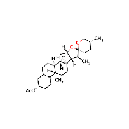 CC(=O)O[C@H]1CC[C@@]2(C)C(CC[C@H]3[C@@H]4C[C@@H]5O[C@]6(CC[C@@H](C)CO6)[C@@H](C)[C@@H]5[C@@]4(C)CC[C@@H]32)C1